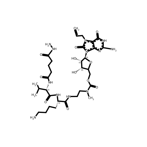 C=CCn1c(=O)n([C@H]2OC(COC(=O)N(C)CCNC(=O)[C@H](CCCCN)NC(=O)[C@@H](NC(=O)CCCC(=O)NN)C(C)C)[C@H](O)[C@@H]2O)c2nc(N)[nH]c(=O)c21